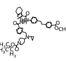 COC(=O)c1ccc(CCc2ccc(NC(=O)c3c(NC(=O)c4cccc(CN(C5CC5)C5CCN(C(=O)OC(C)(C)C)CC5)c4)sc4c3CCCC4)cc2)cc1